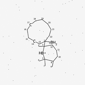 BC1(C2(C)BC(C)(C)C(C)CCC2)CCCCCCCCCC1